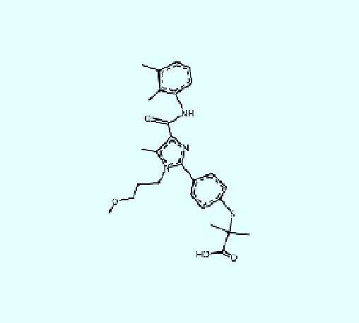 COCCCn1c(-c2ccc(SC(C)(C)C(=O)O)cc2)nc(C(=O)Nc2cccc(C)c2C)c1C